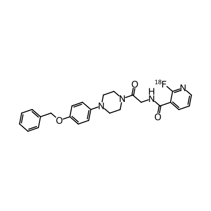 O=C(NCC(=O)N1CCN(c2ccc(OCc3ccccc3)cc2)CC1)c1cccnc1[18F]